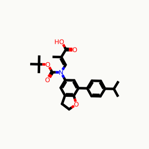 CC(=CN(C(=O)OC(C)(C)C)c1cc2c(c(-c3ccc(C(C)C)cc3)c1)OCC2)C(=O)O